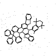 Cc1cc2c(cc1N1c3c(oc4ccccc34)B3c4c(cc5c(sc6ccccc65)c41)-c1cccc4c1N3c1ccccc1C4(c1ccccc1)c1ccccc1)C(C)(C)CCC2(C)C